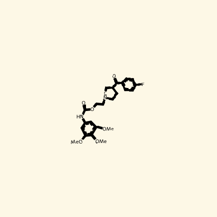 COc1cc(NC(=O)OCCN2CCC(C(=O)c3ccc(F)cc3)CC2)cc(OC)c1OC